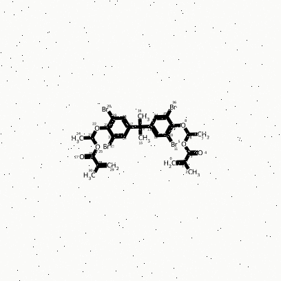 C=C(C)C(=O)OC(C)Oc1c(Br)cc(C(C)(C)c2cc(Br)c(OC(C)OC(=O)C(=C)C)c(Br)c2)cc1Br